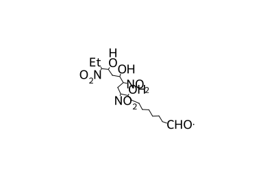 CCC(C(O)CC(O)C(CC(C(O)CCCCCCC[C]=O)[N+](=O)[O-])[N+](=O)[O-])[N+](=O)[O-]